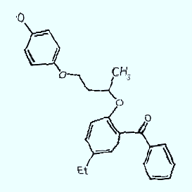 CCc1ccc(OC(C)CCOc2ccc([O])cc2)c(C(=O)c2ccccc2)c1